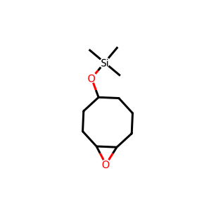 C[Si](C)(C)OC1CCCC2OC2CC1